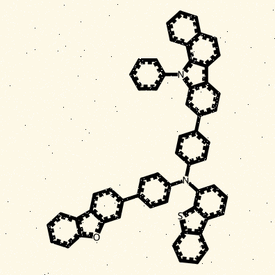 c1ccc(-n2c3cc(-c4ccc(N(c5ccc(-c6ccc7c(c6)oc6ccccc67)cc5)c5cccc6c5sc5ccccc56)cc4)ccc3c3ccc4ccccc4c32)cc1